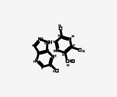 Clc1cnc2cn[nH]c2n1.O=Cc1ncc(Cl)nc1Cl